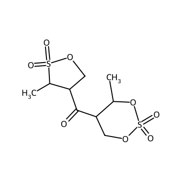 CC1OS(=O)(=O)OCC1C(=O)C1COS(=O)(=O)C1C